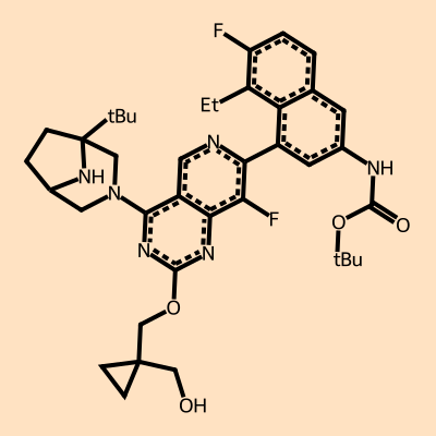 CCc1c(F)ccc2cc(NC(=O)OC(C)(C)C)cc(-c3ncc4c(N5CC6CCC(C(C)(C)C)(C5)N6)nc(OCC5(CO)CC5)nc4c3F)c12